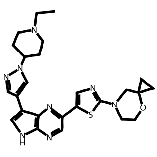 CCN1CCC(n2cc(-c3c[nH]c4ncc(-c5cnc(N6CCOC7(CC7)C6)s5)nc34)cn2)CC1